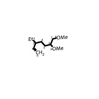 C=CC(CC)CCC(COC)OC